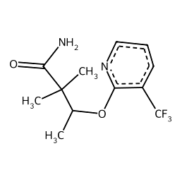 CC(Oc1ncccc1C(F)(F)F)C(C)(C)C(N)=O